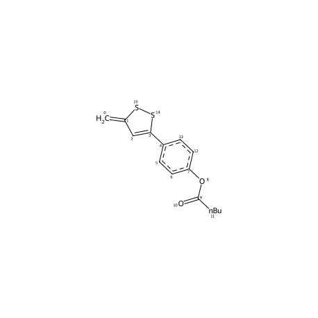 C=C1C=C(c2ccc(OC(=O)CCCC)cc2)SS1